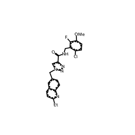 CCc1ccc2cc(Cn3cc(C(=O)NCc4c(Cl)ccc(OC)c4F)nn3)ccc2n1